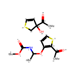 CCCCC(NC(=O)OC(C)(C)C)Oc1ccsc1C(=O)OC.COC(=O)C1(O)C=CSC1